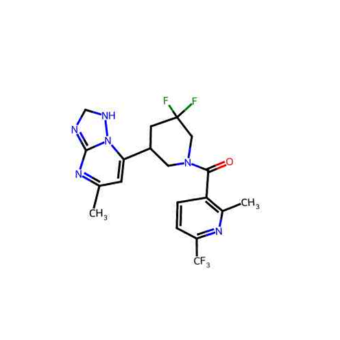 CC1=NC2=NCNN2C(C2CN(C(=O)c3ccc(C(F)(F)F)nc3C)CC(F)(F)C2)=C1